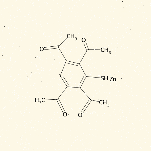 CC(=O)c1cc(C(C)=O)c(C(C)=O)c(S)c1C(C)=O.[Zn]